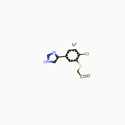 O=C([O-])CSc1cc(-c2c[nH]cn2)ccc1Cl.[Li+]